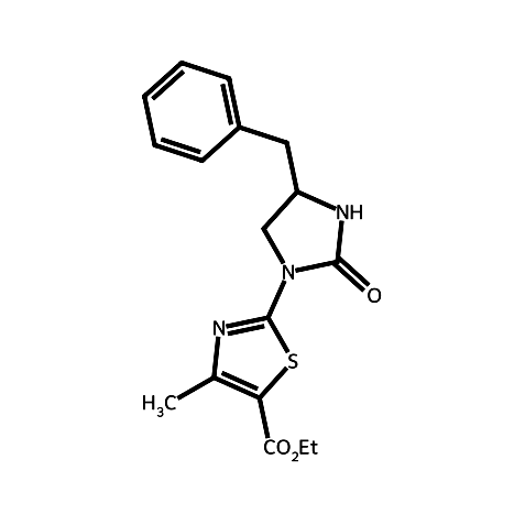 CCOC(=O)c1sc(N2CC(Cc3ccccc3)NC2=O)nc1C